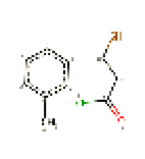 Cc1ccccc1.O=C(Cl)CCS